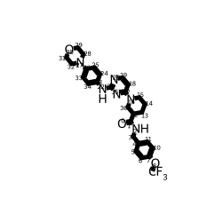 O=C(NCc1ccc(OC(F)(F)F)cc1)C1CCCN(c2ccnc(Nc3ccc(N4CCOCC4)cc3)n2)C1